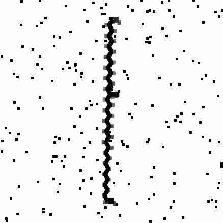 CCCCCCCCCCCCCCCCCCCCC(=O)CCCCCCCCCCCCCC